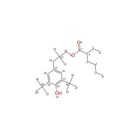 CCCCC(CC)C(=O)OCC(C)(C)Cc1cc(C(C)(C)C)c(O)c(C(C)(C)C)c1